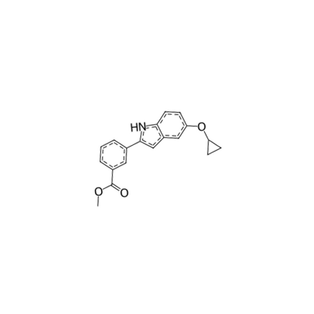 COC(=O)c1cccc(-c2cc3cc(OC4CC4)ccc3[nH]2)c1